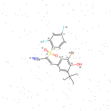 CC(C)(C)c1cc(C=C(C#N)S(=O)(=O)c2ccc(F)cc2F)cc(Br)c1O